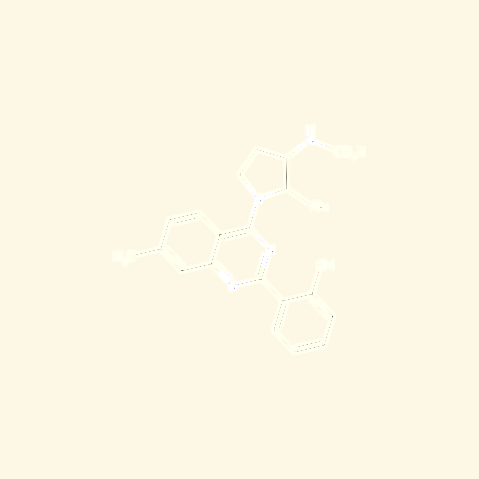 Cc1ccc2c(N3CCC(NC(=O)O)C3C(C)(C)C)nc(-c3ccccc3O)nc2c1